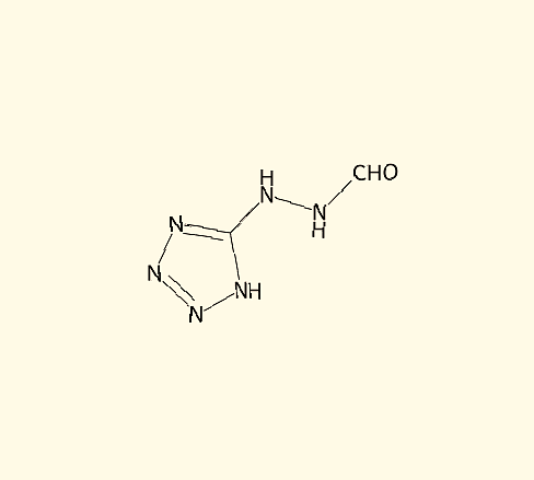 O=CNNc1nnn[nH]1